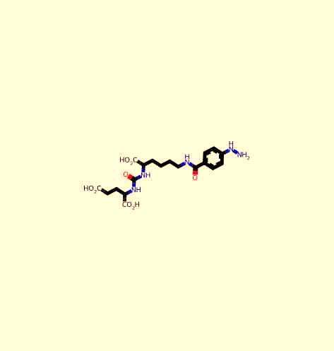 NNc1ccc(C(=O)NCCCCC(NC(=O)NC(CCC(=O)O)C(=O)O)C(=O)O)cc1